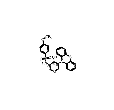 O=S(=O)(N[C@@H]1COC[C@H](N2c3ccccc3Sc3ccccc32)[C@H]1O)c1ccc(OC(F)(F)F)cc1